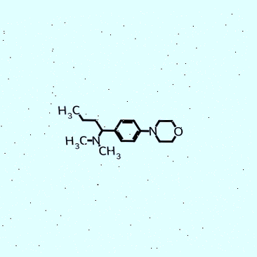 CCCC(c1ccc(N2CCOCC2)cc1)N(C)C